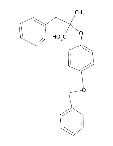 CC(Cc1ccccc1)(Oc1ccc(OCc2ccccc2)cc1)C(=O)O